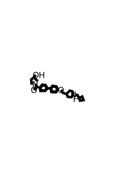 O=C(c1ccc(-c2ccc(OCC3CCN(CC4(F)CCC4)CC3)cc2)cc1)N1CCC(O)C1